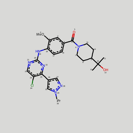 COc1cc(C(=O)N2CCC(C(C)(C)O)CC2)ccc1Nc1ncc(Cl)c(-c2cnn(C(C)C)c2)n1